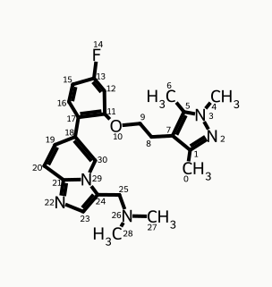 Cc1nn(C)c(C)c1CCOc1cc(F)ccc1-c1ccc2ncc(CN(C)C)n2c1